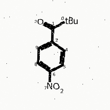 CC(C)(C)C(=O)c1ccc([N+](=O)[O-])cc1